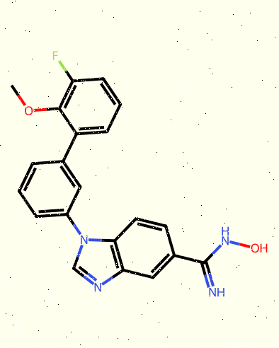 COc1c(F)cccc1-c1cccc(-n2cnc3cc(C(=N)NO)ccc32)c1